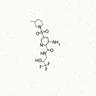 CC1CCCN(S(=O)(=O)c2cnc(C(=O)NCC(O)C(F)(F)F)c(N)c2)C1